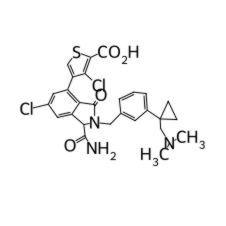 CN(C)CC1(c2cccc(CN3C(=O)c4c(-c5csc(C(=O)O)c5Cl)cc(Cl)cc4C3C(N)=O)c2)CC1